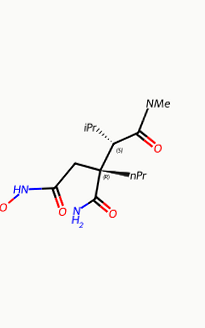 CCC[C@](CC(=O)NO)(C(N)=O)[C@@H](C(=O)NC)C(C)C